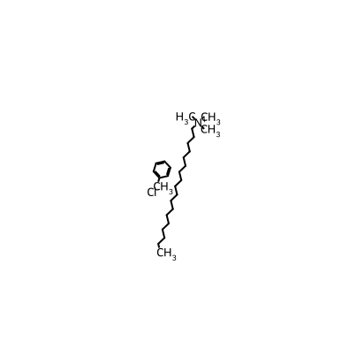 CCCCCCCCCCCCCCCCCC[N+](C)(C)C.Cc1ccccc1.[Cl-]